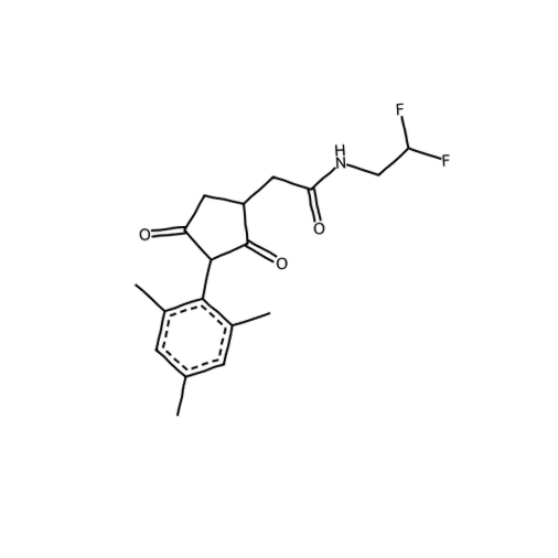 Cc1cc(C)c(C2C(=O)CC(CC(=O)NCC(F)F)C2=O)c(C)c1